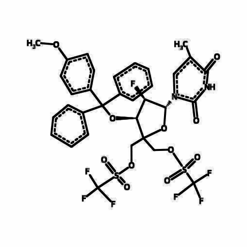 COc1ccc(C(O[C@H]2[C@@H](F)[C@H](n3cc(C)c(=O)[nH]c3=O)OC2(COS(=O)(=O)C(F)(F)F)COS(=O)(=O)C(F)(F)F)(c2ccccc2)c2ccccc2)cc1